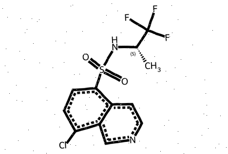 C[C@H](NS(=O)(=O)c1ccc(Cl)c2cnccc12)C(F)(F)F